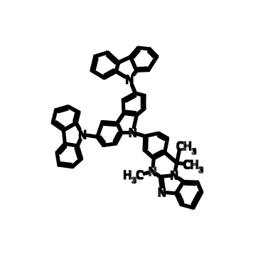 CN1c2cc(-n3c4ccc(-n5c6ccccc6c6ccccc65)cc4c4cc(-n5c6ccccc6c6ccccc65)ccc43)ccc2C(C)(C)n2c1nc1ccccc12